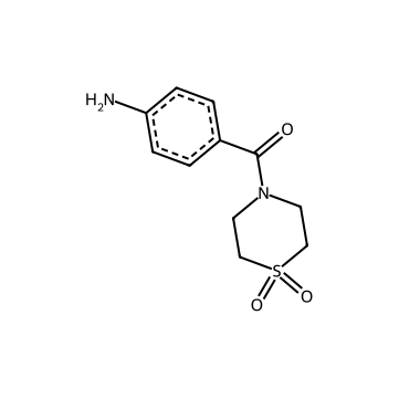 Nc1ccc(C(=O)N2CCS(=O)(=O)CC2)cc1